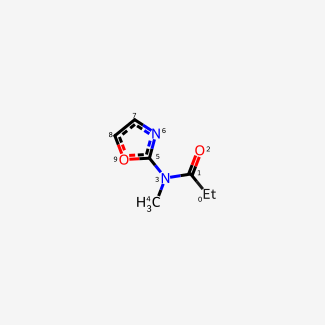 CCC(=O)N(C)c1ncco1